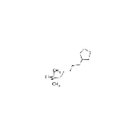 C[Si](C)(Cl)CCCCCC1CCCC1